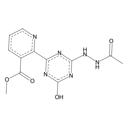 COC(=O)c1cccnc1-c1nc(O)nc(NNC(C)=O)n1